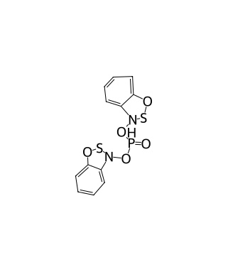 O=[PH](ON1SOc2ccccc21)ON1SOc2ccccc21